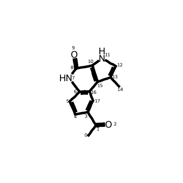 CC(=O)c1ccc2[nH]c(=O)c3[nH]cc(C)c3c2c1